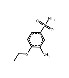 CCSc1ccc(S(N)(=O)=O)cc1N